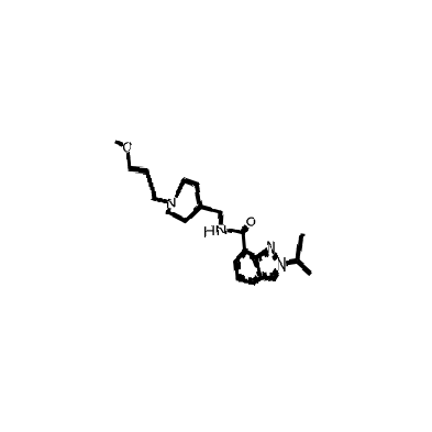 COCCCN1CCC(CNC(=O)c2cccc3cn(C(C)C)nc23)CC1